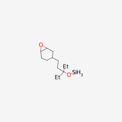 CCC(CC)(CCC1CCC2OC2C1)O[SiH3]